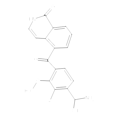 COc1c(C(=O)c2cccc3c(=O)[nH]ccc23)ccc(C(C)N)c1F